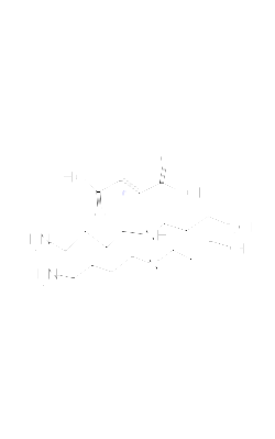 NCCCCNCCCO.NCCCCNCCCO.O=C(O)/C=C/C(=O)O